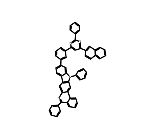 c1ccc(-c2nc(-c3cccc(-c4ccc5c6cc7nc(-c8ccccc8)c8ccccc8c7cc6n(-c6ccccc6)c5c4)c3)cc(-c3ccc4ccccc4c3)n2)cc1